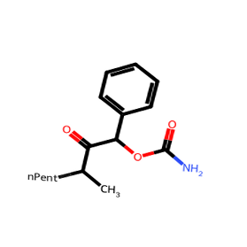 CCCCCC(C)C(=O)C(OC(N)=O)c1ccccc1